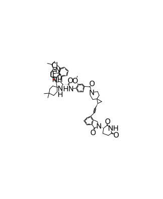 COc1cc(C(=O)N2CCC3(CC2)C[C@H]3C#Cc2cccc3c2CN([C@H]2CCC(=O)NC2=O)C3=O)ccc1NC(=O)[C@@H]1NC2(CCC(C)(C)CC2)[C@@]2(CNc3cc(C(C)C)ncc32)[C@H]1c1cccc(Cl)c1F